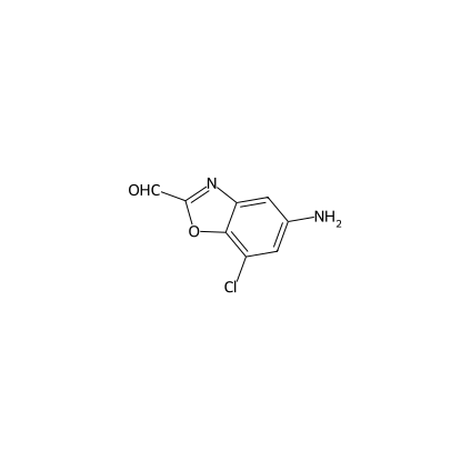 Nc1cc(Cl)c2oc(C=O)nc2c1